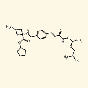 CC(C)COC(C)ONC(=O)/C=C/c1ccc(CNC2(C(=O)OC3CCCC3)CC(C)C2)cc1